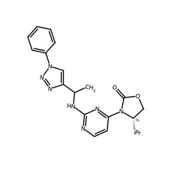 CC(Nc1nccc(N2C(=O)OC[C@@H]2C(C)C)n1)c1cn(-c2ccccc2)nn1